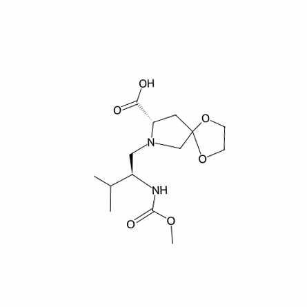 COC(=O)N[C@H](CN1CC2(C[C@H]1C(=O)O)OCCO2)C(C)C